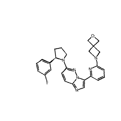 Fc1cccc([C@H]2CCCN2c2ccc3ncc(-c4cccc(N5CC6(COC6)C5)n4)n3n2)c1